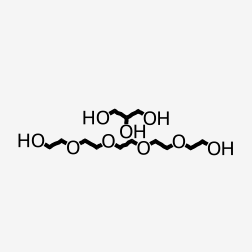 OCC(O)CO.OCCOCCOCCOCCOCCO